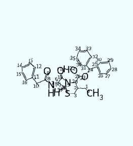 CCC1CS[C@@H]2[C@H](NC(=O)Cc3ccccc3)C(=O)N2C1C(O)OC(c1ccccc1)c1ccccc1